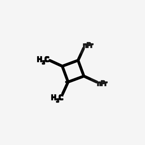 CCCC1[C](C)C(C)C1CCC